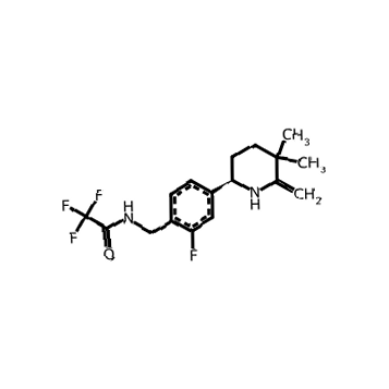 C=C1N[C@@H](c2ccc(CNC(=O)C(F)(F)F)c(F)c2)CCC1(C)C